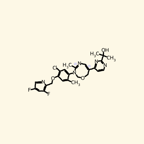 C/C1=N/C=C(/c2ccnc(C(C)(C)O)n2)COCN1c1cc(Cl)c(OCc2ncc(F)cc2F)cc1C